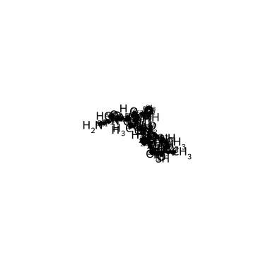 CCCC[C@H](NC(=O)[C@H](C)N)C(=O)N[C@@H](CS)C(=O)NCC(=O)N1CCC[C@H]1C(=O)N[C@@H](CCCNC(=N)N)C(=O)N[C@@H](CS)C(=O)N[C@@H](CC(C)C)C(=O)N[C@@H](Cc1c[nH]c2ccccc12)C(=O)NCC(=O)NCC(=O)N[C@@H](CCCCN)C(=O)O